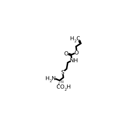 C=CCOC(=O)NCCSC[C@@H](N)C(=O)O